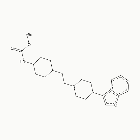 CC(C)(C)OC(=O)NC1CCC(CCN2CCC(c3coc4ccccc34)CC2)CC1